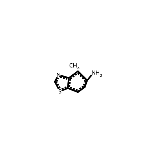 C.Nc1ccc2scnc2c1